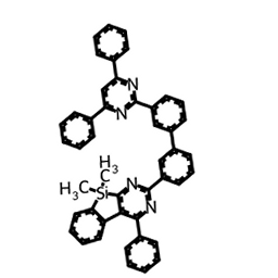 C[Si]1(C)c2ccccc2-c2c(-c3ccccc3)nc(-c3cccc(-c4cccc(-c5nc(-c6ccccc6)cc(-c6ccccc6)n5)c4)c3)nc21